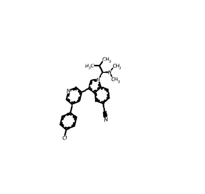 CC(C)C(N(C)C)n1cc(-c2cncc(-c3ccc(Cl)cc3)c2)c2cc(C#N)ccc21